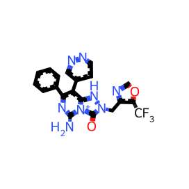 Nc1nc(-c2ccccc2)c(-c2ccnnc2)c2[nH]n(Cc3ncoc3C(F)(F)F)c(=O)[n+]12